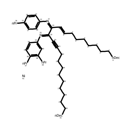 CCCCCCCCCCCCCCCCCC=CC(=Nc1ccc(CCC)cc1)C(C#CCCCCCCCCCCCCCCCCCCC)=Nc1ccc(CCC)c(CCC)c1.[Ni]